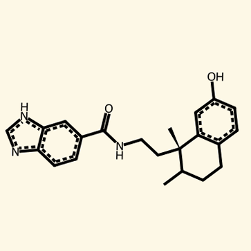 CC1CCc2ccc(O)cc2[C@@]1(C)CCNC(=O)c1ccc2nc[nH]c2c1